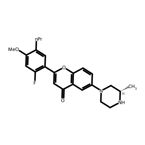 CCCc1cc(-c2cc(=O)c3cc(N4CCN[C@@H](C)C4)ccc3o2)c(F)cc1OC